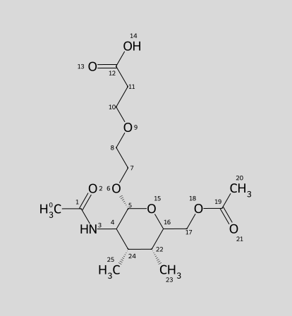 CC(=O)NC1[C@H](OCCOCCC(=O)O)OC(COC(C)=O)[C@H](C)[C@@H]1C